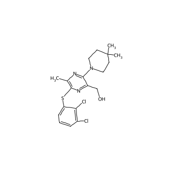 Cc1nc(N2CCC(C)(C)CC2)c(CO)nc1Sc1cccc(Cl)c1Cl